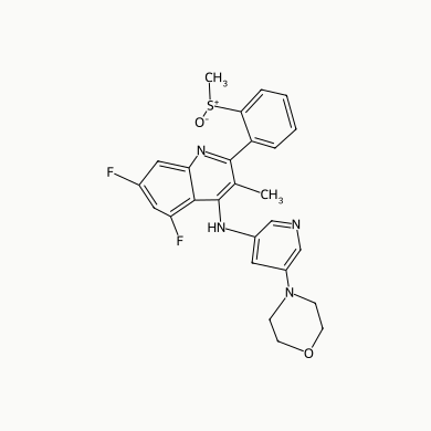 Cc1c(-c2ccccc2[S+](C)[O-])nc2cc(F)cc(F)c2c1Nc1cncc(N2CCOCC2)c1